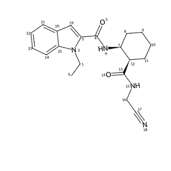 CCn1c(C(=O)N[C@H]2CCCC[C@H]2C(=O)NCC#N)cc2ccccc21